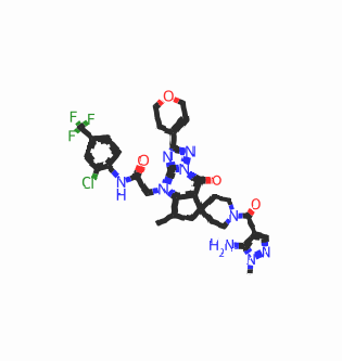 CC1CC2(CCN(C(=O)c3cnn(C)c3N)CC2)c2c1n(CC(=O)Nc1ccc(C(F)(F)F)cc1Cl)c1nc(C3=CCOCC3)nn1c2=O